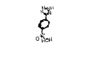 [O-][NH+](O)c1ccc(-c2nn[nH]n2)cc1